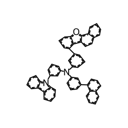 c1cc(-c2cccc3ccccc23)cc(N(c2cccc(-c3cccc4oc5c6ccccc6ccc5c34)c2)c2cccc(-n3c4ccccc4c4ccccc43)c2)c1